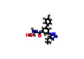 Cc1ccc(-c2cc(C(=O)NC(C)CO)cc(-n3nnnc3CC(C)C)c2)cc1